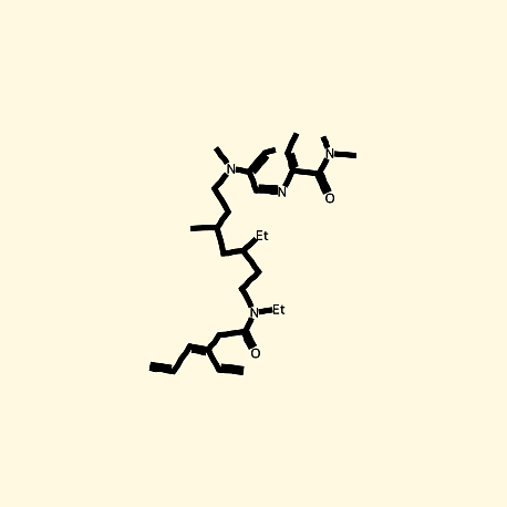 C=C/C=C(\C=C)CC(=O)N(CC)CCC(CC)CC(C)CCN(C)C(/C=N\C(=C\C)C(=O)N(C)C)=C/C